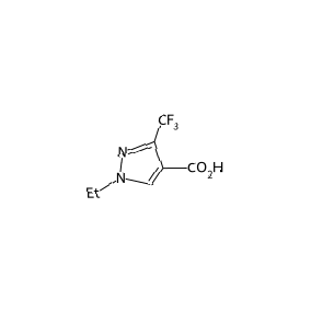 CCn1cc(C(=O)O)c(C(F)(F)F)n1